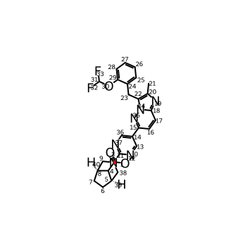 COC(=O)C1[C@@H]2CC[C@H]1CN(c1ncc(-c3ccc4nc(C)c(Cc5ccccc5OC(F)F)n4n3)cn1)C2